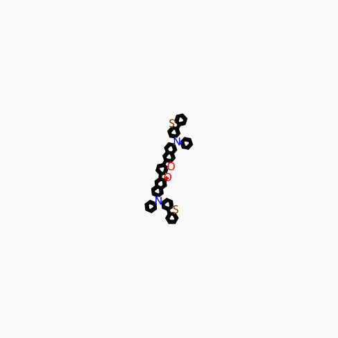 c1ccc(N(c2ccc3cc4c(cc3c2)oc2c4ccc3c4cc5ccc(N(c6ccccc6)c6ccc7sc8ccccc8c7c6)cc5cc4oc32)c2ccc3sc4ccccc4c3c2)cc1